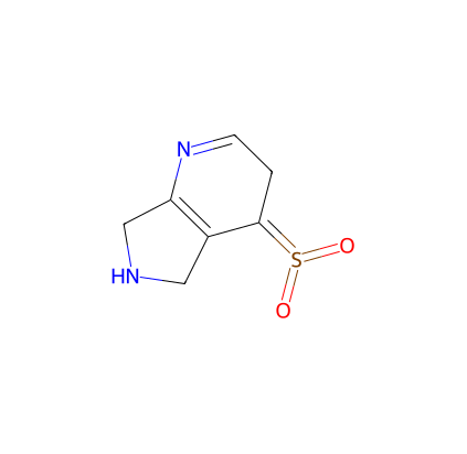 O=S(=O)=C1CC=NC2=C1CNC2